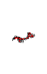 CN[C@@H](C)C(=O)N[C@H](C(=O)N1CCC[C@H]1C1=NC(C(=O)c2ccc(F)cc2)CS1)C1CCN(CCOCCOCCC(=O)N(C)CCN2C[C@H](C)Oc3ccc(F)cc3C(C)Nc3ccn4ncc(c4n3)C2=O)CC1